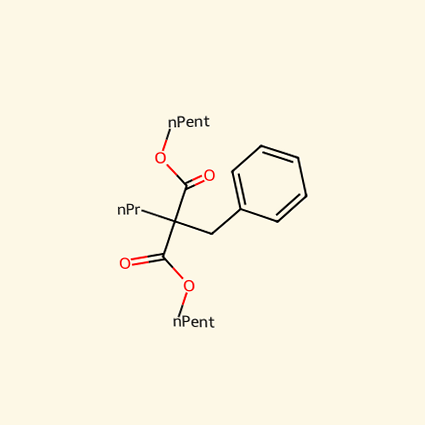 CCCCCOC(=O)C(CCC)(Cc1ccccc1)C(=O)OCCCCC